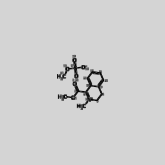 COC(=O)C1=[N+](C)CCc2ccccc21.COS(=O)(=O)[O-]